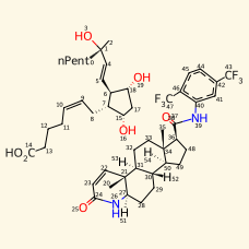 CCCCC[C@](C)(O)/C=C/[C@@H]1[C@@H](C/C=C\CCCC(=O)O)[C@@H](O)C[C@H]1O.C[C@]12C=CC(=O)N[C@@H]1CC[C@@H]1[C@@H]2CC[C@]2(C)[C@@H](C(=O)Nc3cc(C(F)(F)F)ccc3C(F)(F)F)CC[C@@H]12